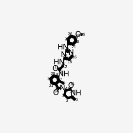 C=C1CCC(N2Cc3c(NC(=O)CNc4ccnc(Nc5ccc(OC)cc5)n4)cccc3C2=O)C(=O)N1